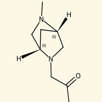 CC(=O)CN1C[C@@H]2C[C@H]1CN2C